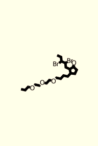 CCCOCCOCCOCCCCC1CCC(=O)C1CC(Br)C(Br)CC